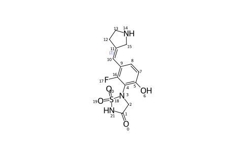 O=C1CN(c2c(O)ccc(/C=C3/CCNC3)c2F)S(=O)(=O)N1